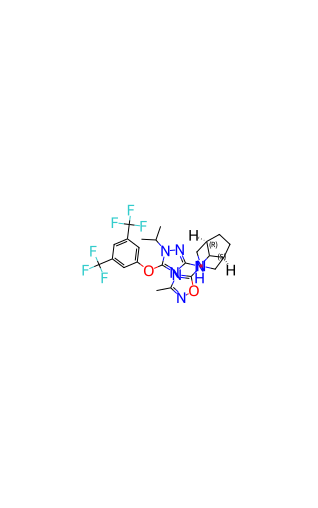 Cc1noc(N2C[C@H]3CC[C@@H](C2)C3Nc2nc(Oc3cc(C(F)(F)F)cc(C(F)(F)F)c3)n(C(C)C)n2)n1